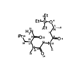 CC[Si](CC)(CC)O[C@H](C)CC(=O)N(C)CC(=O)N(C)[C@@H](CC(C)C)C(N)=O